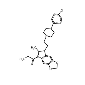 CCC(=O)N1c2cc3c(cc2C(CCN2CCC(c4ccc(Cl)cc4)CC2)C1C)OCO3